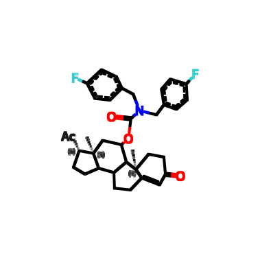 CC(=O)[C@H]1CCC2C3CCC4=CC(=O)CC[C@]4(C)C3C(OC(=O)N(Cc3ccc(F)cc3)Cc3ccc(F)cc3)C[C@@]21C